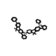 CC1(C)C2=C(CCC(n3c4ccccc4c4cc5c(cc43)-c3ccc(-c4ccccc4)cc3C5(C)C)=C2)c2cc3c(cc21)c1ccccc1n3-c1ccccc1